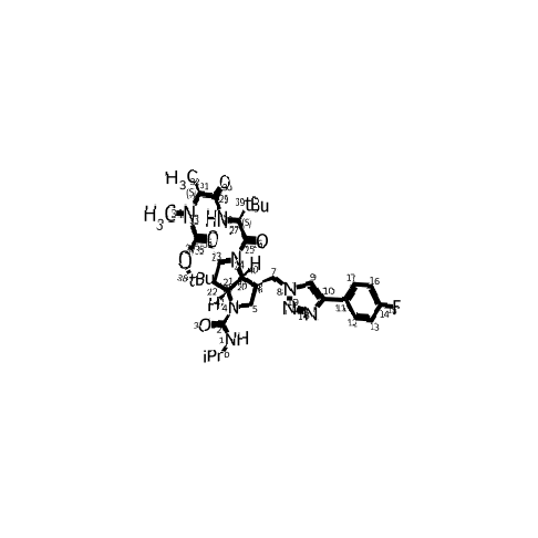 CC(C)NC(=O)N1C[C@H](Cn2cc(-c3ccc(F)cc3)nn2)[C@@H]2[C@H]1CCN2C(=O)[C@@H](NC(=O)[C@H](C)N(C)C(=O)OC(C)(C)C)C(C)(C)C